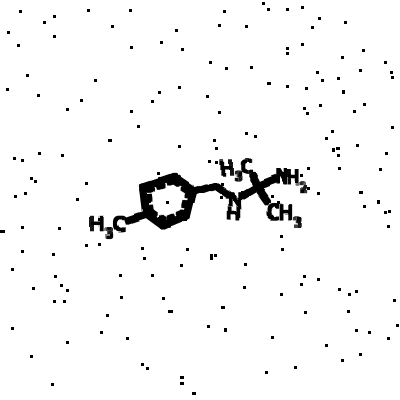 Cc1ccc(CNC(C)(C)N)cc1